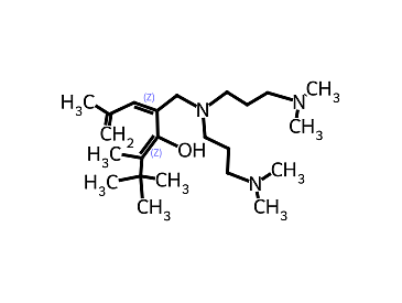 C=C(C)/C=C(CN(CCCN(C)C)CCCN(C)C)\C(O)=C(/C)C(C)(C)C